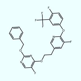 Fc1ccc(Oc2ncc(CCOc3nc(OCc4ccccc4)ncc3F)cc2F)cc1C(F)(F)F